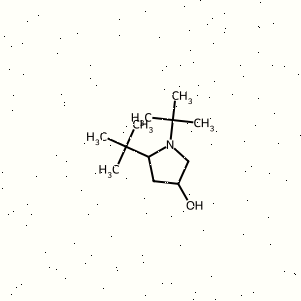 CC(C)(C)C1CC(O)CN1C(C)(C)C